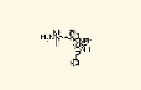 CC(C)CC(NC(=O)/C=C/c1cccnc1)C(=O)NC(CC(C)C)C(=O)NCCCCNC(=N)N